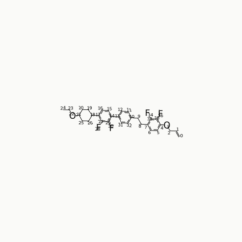 C=CCOc1ccc(CCc2ccc(-c3ccc(C4CCC(OCC)CC4)c(F)c3F)cc2)c(F)c1F